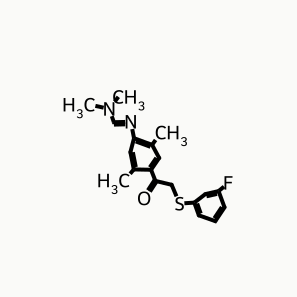 Cc1cc(C(=O)CSc2cccc(F)c2)c(C)cc1N=CN(C)C